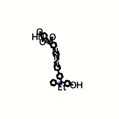 CC/C(=C(\c1ccc(O)cc1)c1ccc(C2CCN(CCN3CCN(c4ccc5c(c4)CN(C4CCC(=O)NC4=O)C5=O)CC3)CC2)cc1)c1ccccc1